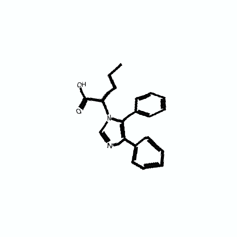 CCCC(C(=O)O)n1cnc(-c2ccccc2)c1-c1ccccc1